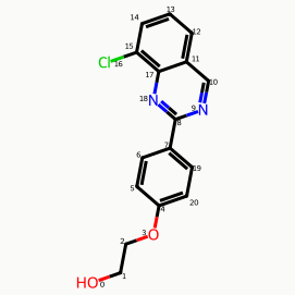 OCCOc1ccc(-c2ncc3cccc(Cl)c3n2)cc1